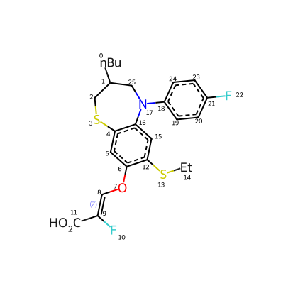 CCCCC1CSc2cc(O/C=C(\F)C(=O)O)c(SCC)cc2N(c2ccc(F)cc2)C1